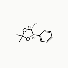 [CH2][C@H]1OC(C)(C)O[C@@H]1c1ccccc1